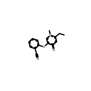 CCc1cc(=O)c(Oc2ccccc2C#N)cn1C